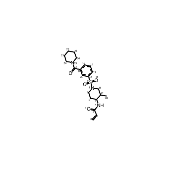 C=CC(=O)NC1CCN(S(=O)(=O)c2cccc(C(=O)N3CCCCC3)c2)CC1C